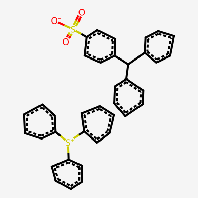 O=S(=O)([O-])c1ccc(C(c2ccccc2)c2ccccc2)cc1.c1ccc([S+](c2ccccc2)c2ccccc2)cc1